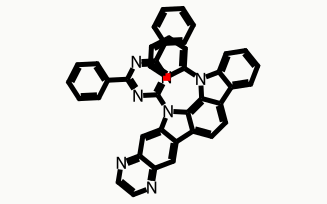 c1ccc(-c2nc(-c3ccccc3)nc(-n3c4cc5nccnc5cc4c4ccc5c6ccccc6n(-c6ccccc6)c5c43)n2)cc1